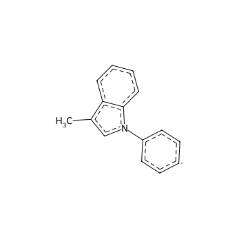 Cc1cn(-c2cc[c]cc2)c2ccccc12